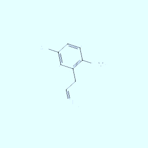 C=CCc1cc(C(C)=O)ccc1OC